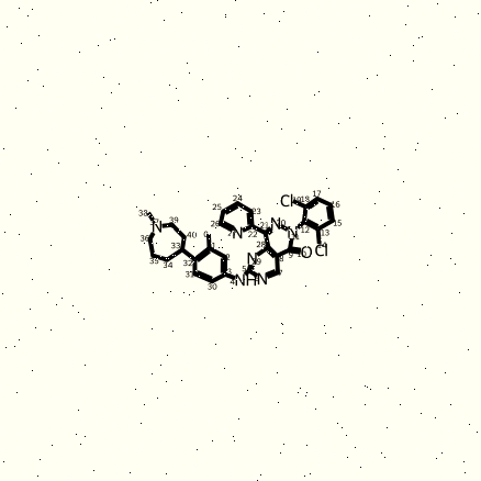 Cc1cc(Nc2ncc3c(=O)n(-c4c(Cl)cccc4Cl)nc(-c4ccccn4)c3n2)ccc1C1CCCN(C)CC1